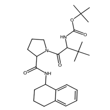 CC(C)(C)OC(=O)NC(C(=O)N1CCCC1C(=O)NC1CCCc2ccccc21)C(C)(C)C